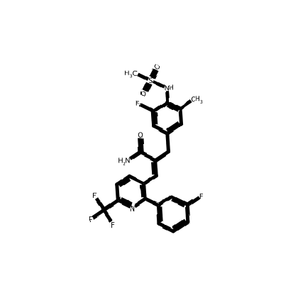 Cc1cc(CC(=Cc2ccc(C(F)(F)F)nc2-c2cccc(F)c2)C(N)=O)cc(F)c1NS(C)(=O)=O